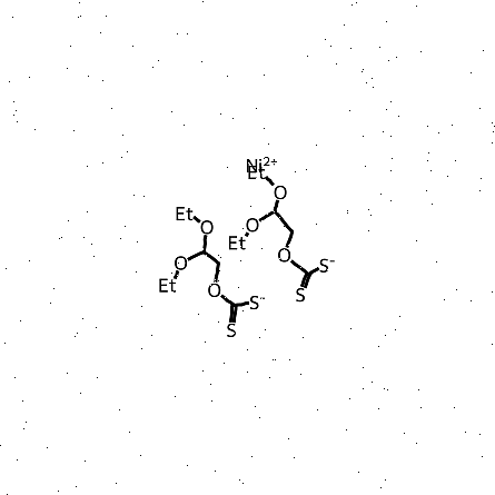 CCOC(COC(=S)[S-])OCC.CCOC(COC(=S)[S-])OCC.[Ni+2]